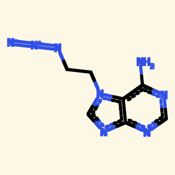 [N-]=[N+]=NCCn1cnc2ncnc(N)c21